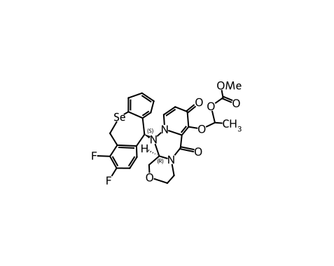 COC(=O)OC(C)Oc1c2n(ccc1=O)N([C@@H]1c3ccccc3[Se]Cc3c1ccc(F)c3F)[C@@H]1COCCN1C2=O